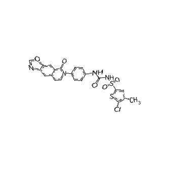 Cc1cc(S(=O)(=O)NC(=O)Nc2ccc(-n3ccc4cc5ncoc5cc4c3=O)cc2)sc1Cl